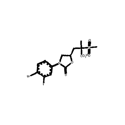 CC(CC1CN(c2ccc(Br)c(F)c2)C(=O)O1)(C(=O)O)S(C)(=O)=O